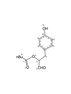 CCCCC(=O)OC(C=O)Cc1ccc(O)cc1